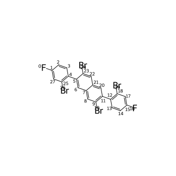 Fc1ccc(-c2cc3cc(Br)c(-c4ccc(F)cc4Br)cc3cc2Br)c(Br)c1